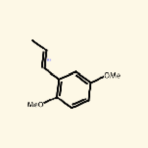 C/C=C/c1cc(OC)ccc1OC